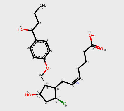 CCCC(O)c1ccc(OC[C@@H]2[C@@H](C/C=C\CCCC(=O)O)[C@@H](Cl)C[C@H]2O)cc1